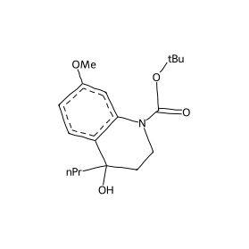 CCCC1(O)CCN(C(=O)OC(C)(C)C)c2cc(OC)ccc21